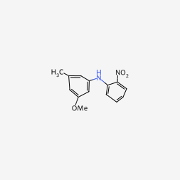 COc1cc(C)cc(Nc2ccccc2[N+](=O)[O-])c1